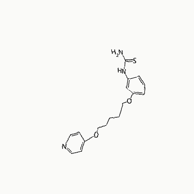 NC(=S)Nc1cccc(OCCCCCOc2ccncc2)c1